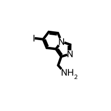 NCc1ncn2ccc(I)cc12